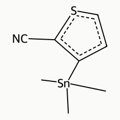 [CH3][Sn]([CH3])([CH3])[c]1ccsc1C#N